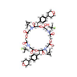 CN1C(=O)COC(=O)[C@H](CC2CC2)N(C)C(=O)[C@@H](Cc2ccc(C3CCOCC3)cc2)OC(O)[C@H](CC(C)(C)F)N(C)C(=O)COC(=O)[C@H](CC2CC2)N(C)C(=O)[C@@H](Cc2ccc(C3CCOCC3)cc2)OC(=O)[C@@H]1CC(C)(C)F